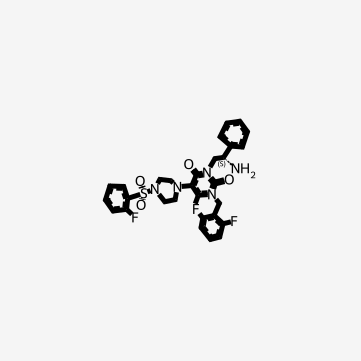 Cc1c(N2CCN(S(=O)(=O)c3ccccc3F)CC2)c(=O)n(C[C@@H](N)c2ccccc2)c(=O)n1Cc1c(F)cccc1F